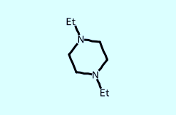 CCN1CCN(CC)CC1